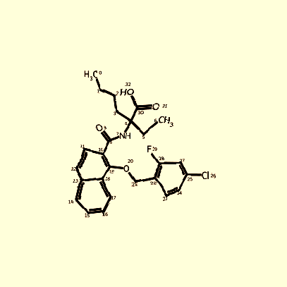 CCCCC(CC)(NC(=O)c1ccc2ccccc2c1OCc1ccc(Cl)cc1F)C(=O)O